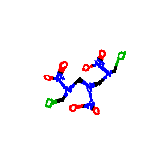 O=[N+]([O-])N(CCl)CN(CN(CCl)[N+](=O)[O-])[N+](=O)[O-]